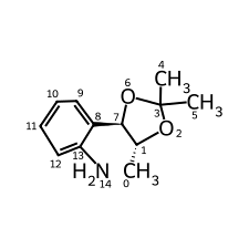 C[C@H]1OC(C)(C)O[C@@H]1c1ccccc1N